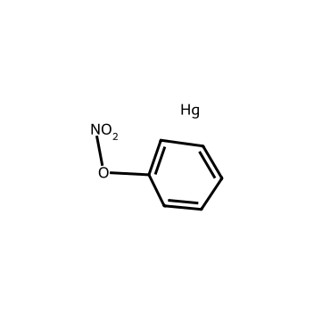 O=[N+]([O-])Oc1ccccc1.[Hg]